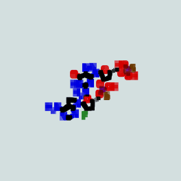 Nc1nc2c(nnn2[C@@H]2O[C@H](COP(O)(O)=S)CC2OP(O)(=S)OC[C@@H]2C[C@H](F)[C@@H](n3ccc4c(N)ncnc43)O2)c(=O)[nH]1